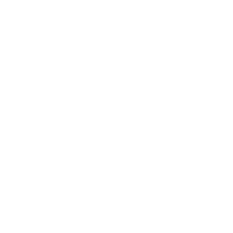 CC(=O)CCCCC(=O)C=C(c1ccccc1)c1ccccc1